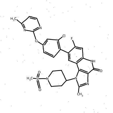 Cc1ccnc(Oc2ccc(-c3cc4c(cc3F)[nH]c(=O)c3nc(C)n(C5CCN(S(C)(=O)=O)CC5)c34)c(Cl)c2)n1